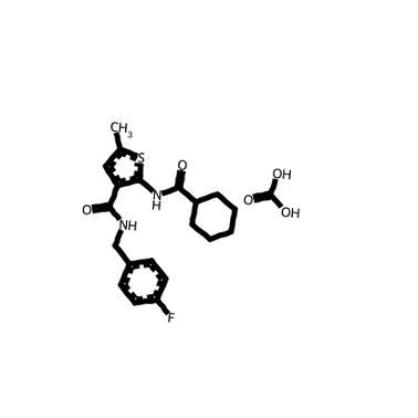 Cc1cc(C(=O)NCc2ccc(F)cc2)c(NC(=O)C2CCCCC2)s1.O=C(O)O